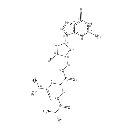 CC(C)[C@H](N)C(=O)OC[C@H](OC(=O)[C@@H](N)C(C)C)C(=O)OC[C@H]1O[C@@H](n2cnc3c(=O)[nH]c(N)nc32)CC1F